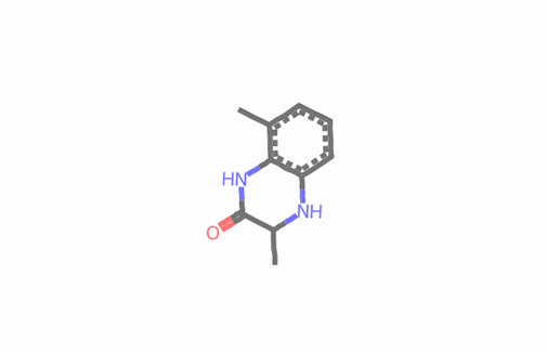 Cc1cccc2c1NC(=O)C(C)N2